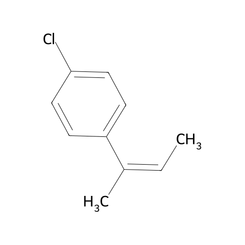 C/C=C(/C)c1ccc(Cl)cc1